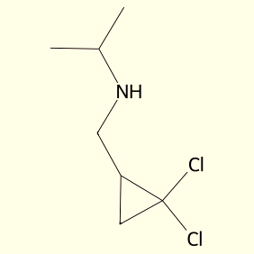 CC(C)NCC1CC1(Cl)Cl